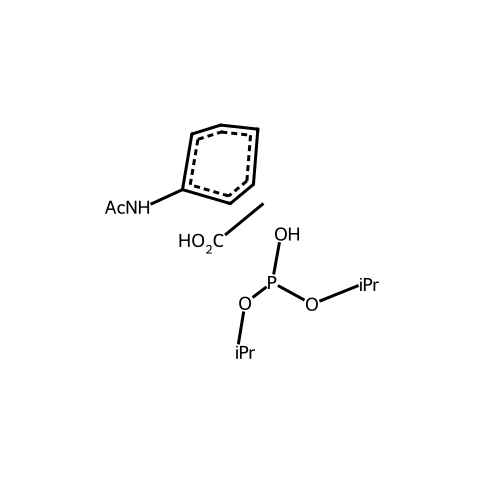 CC(=O)Nc1ccccc1.CC(=O)O.CC(C)OP(O)OC(C)C